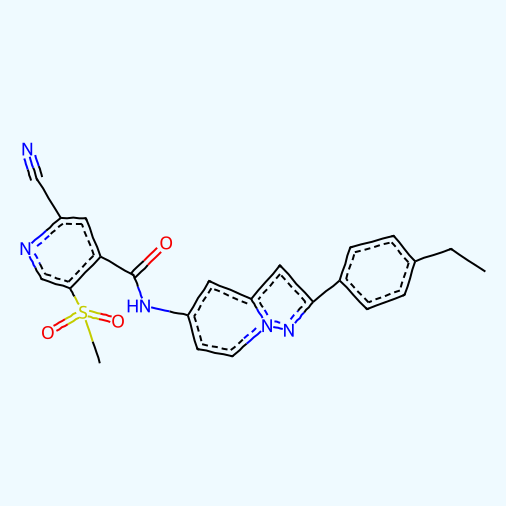 CCc1ccc(-c2cc3cc(NC(=O)c4cc(C#N)ncc4S(C)(=O)=O)ccn3n2)cc1